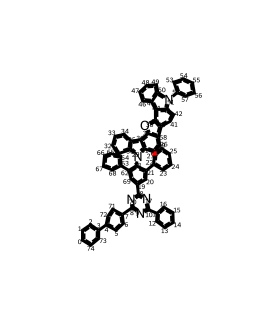 c1ccc(-c2ccc(-c3nc(-c4ccccc4)nc(-c4cc(-c5ccccc5)c(-n5c6ccccc6c6c7oc8c(ccc9c8c8ccccc8n9-c8ccccc8)c7ccc65)c(-c5ccccc5)c4)n3)cc2)cc1